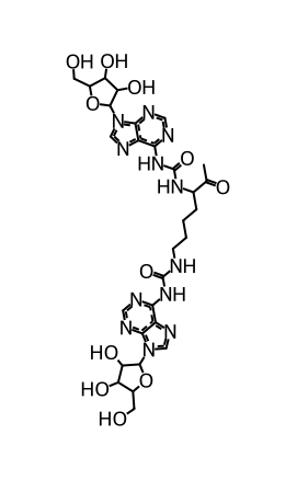 CC(=O)C(CCCCNC(=O)Nc1ncnc2c1ncn2C1OC(CO)C(O)C1O)NC(=O)Nc1ncnc2c1ncn2C1OC(CO)C(O)C1O